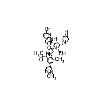 C#C[C@@H]1[C@@H](CN2CCNCC2)C[C@@H](C(=O)Nc2nc(Br)ccc2C)N1C(=O)Cn1nc(C(C)=O)c2cc(-c3cnc(C)nc3)cc(C)c21